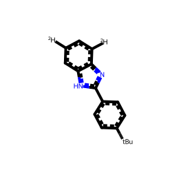 [2H]c1cc([2H])c2nc(-c3ccc(C(C)(C)C)cc3)[nH]c2c1